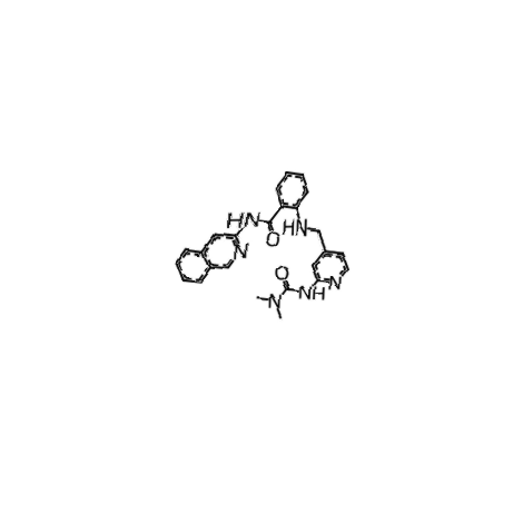 CN(C)C(=O)Nc1cc(CNc2ccccc2C(=O)Nc2cc3ccccc3cn2)ccn1